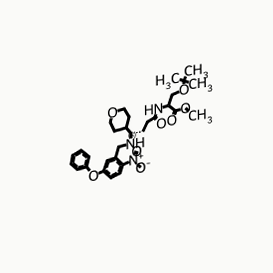 COC(=O)C(COC(C)(C)C)NC(=O)CC[C@H](NCc1cc(Oc2ccccc2)ccc1[N+](=O)[O-])C1CCOCC1